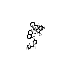 CNC(=O)C1CCCCN1C(=O)N1CCc2cccc(OC3CCN(C(=O)c4cncs4)C3)c2[C@H]1CN1C(=O)c2ccccc2C1=O